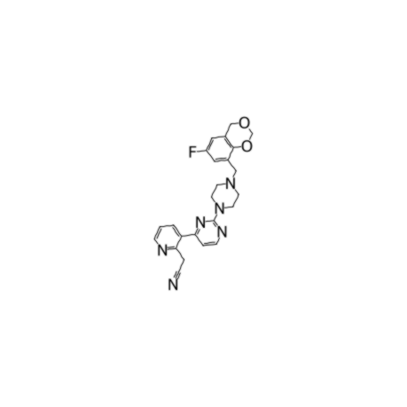 N#CCc1ncccc1-c1ccnc(N2CCN(Cc3cc(F)cc4c3OCOC4)CC2)n1